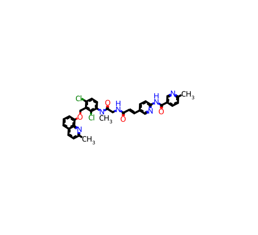 Cc1ccc(C(=O)Nc2ccc(C=CC(=O)NCC(=O)N(C)c3ccc(Cl)c(COc4cccc5ccc(C)nc45)c3Cl)cn2)cn1